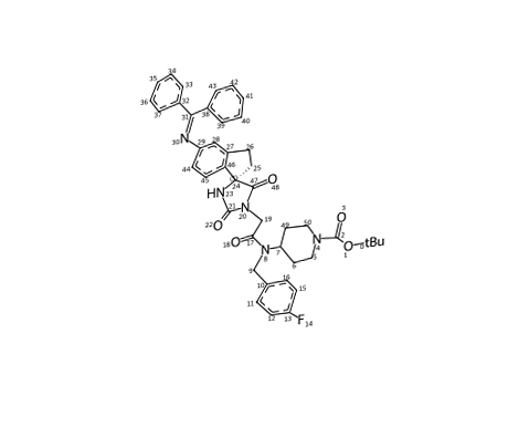 CC(C)(C)OC(=O)N1CCC(N(Cc2ccc(F)cc2)C(=O)CN2C(=O)N[C@]3(CCc4cc(N=C(c5ccccc5)c5ccccc5)ccc43)C2=O)CC1